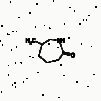 CC1CCCC(=O)NC1